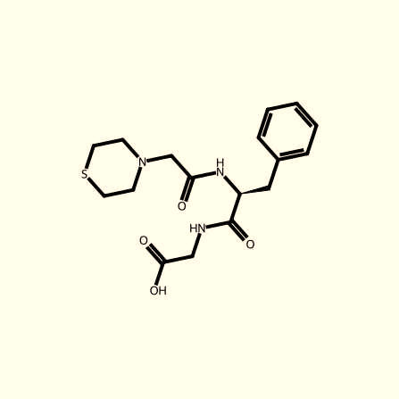 O=C(O)CNC(=O)[C@H](Cc1ccccc1)NC(=O)CN1CCSCC1